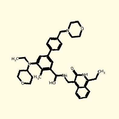 CCc1[nH]c(=O)c(CNC(O)c2cc(-c3ccc(CN4CCOCC4)cc3)cc(N(CC)C3CCOCC3)c2C)c2ccccc12